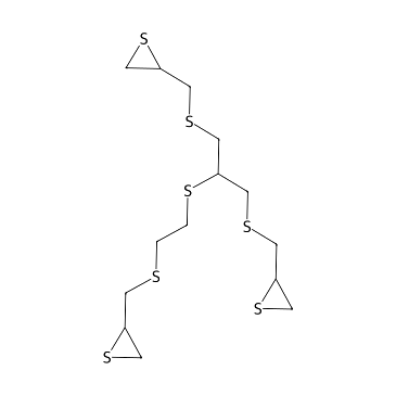 C(CSC(CSCC1CS1)CSCC1CS1)SCC1CS1